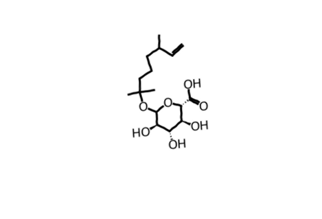 C=CC(C)CCCC(C)(C)OC1O[C@H](C(=O)O)[C@@H](O)[C@H](O)[C@H]1O